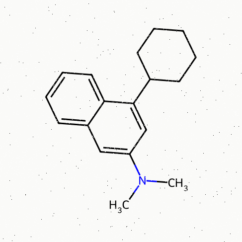 CN(C)c1cc(C2CCCCC2)c2ccccc2c1